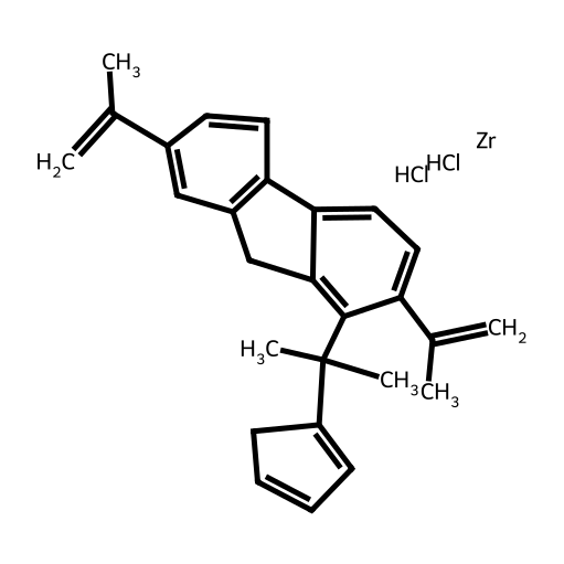 C=C(C)c1ccc2c(c1)Cc1c-2ccc(C(=C)C)c1C(C)(C)C1=CC=CC1.Cl.Cl.[Zr]